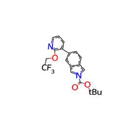 CC(C)(C)OC(=O)n1cc2ccc(-c3cccnc3OCC(F)(F)F)cc2c1